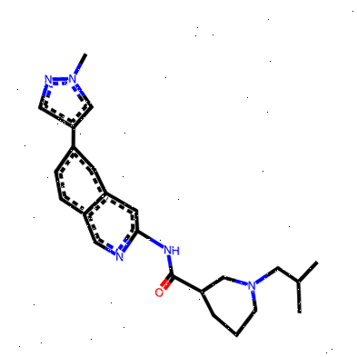 CC(C)CN1CCCC(C(=O)Nc2cc3cc(-c4cnn(C)c4)ccc3cn2)C1